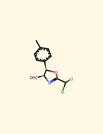 Cc1ccc([C@H]2OC(C(Cl)Cl)=N[C@H]2C=O)cc1